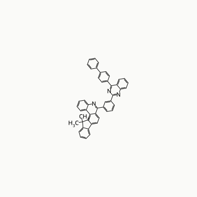 CC1(C)c2ccccc2-c2ccc3c(-c4cccc(-c5nc(-c6ccc(-c7ccccc7)cc6)c6ccccc6n5)c4)nc4ccccc4c3c21